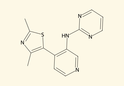 Cc1nc(C)c(-c2ccncc2Nc2ncccn2)s1